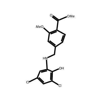 COC(=O)c1ccc(CNc2cc(Cl)cc(Cl)c2O)cc1OC